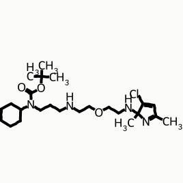 CC1=NC(C)(NCCOCCNCCCN(C(=O)OC(C)(C)C)C2CCCCC2)C(Cl)=C1